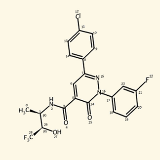 C[C@@H](NC(=O)c1cc(-c2ccc(Cl)cc2)nn(-c2cccc(F)c2)c1=O)[C@@H](O)C(F)(F)F